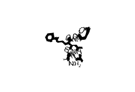 CC(C)C[C@@H](C(=O)NN(CC(C)C)C(=O)[C@@H](C)N)C(CCCCC1CCCCC1)C(=O)NOC1CCCCO1